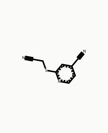 N#CCSc1cc(C#N)ccn1